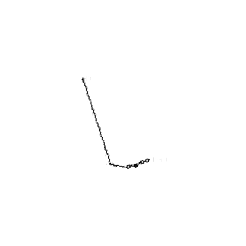 CCCCCC1CCC(C2CCC(C(=O)Oc3ccc(OC(=O)C4CCC(OCCCCCCOC(=O)CCC(=O)OCCCCOCCCCOCCCCOCCCCOCCCCOCCCCOCCCCOCCCCOCCCCOCCCCOCCCCOCCCCOC(=O)CCC)CC4)cc3)CC2)CC1